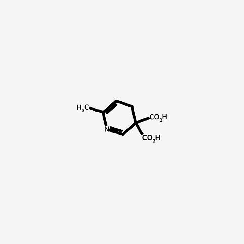 CC1=CCC(C(=O)O)(C(=O)O)C=N1